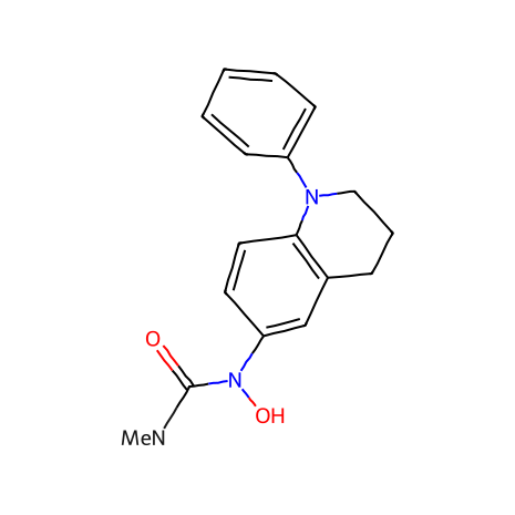 CNC(=O)N(O)c1ccc2c(c1)CCCN2c1ccccc1